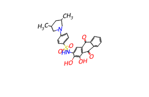 CC1CC(C)CN(c2ccc(S(=O)(=O)Nc3cc4c(c(O)c3O)C(=O)c3ccccc3C4=O)cc2)C1